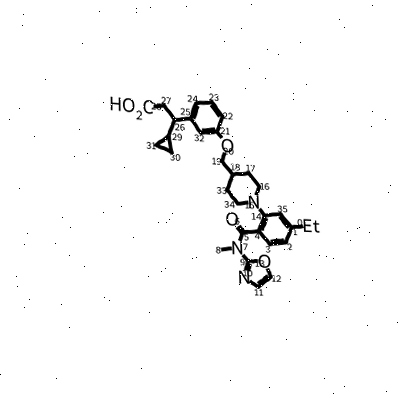 CCc1ccc(C(=O)N(C)c2ncco2)c(N2CCC(COc3cccc(C(CC(=O)O)C4CC4)c3)CC2)c1